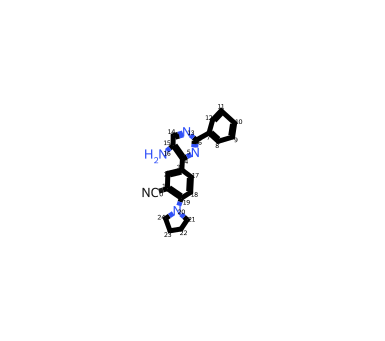 N#Cc1cc(-c2nc(-c3ccccc3)ncc2N)ccc1N1CCCC1